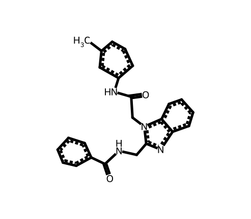 Cc1cccc(NC(=O)Cn2c(CNC(=O)c3ccccc3)nc3ccccc32)c1